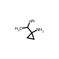 CCCC(C)C1(N)CC1